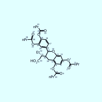 CCCC(=O)Oc1cc(OC(=O)CCC)c2c(c1)OC(c1ccc(OC(=O)CCC)c(OC(=O)CCC)c1)C([C@@H](CC)C(=O)O)C2